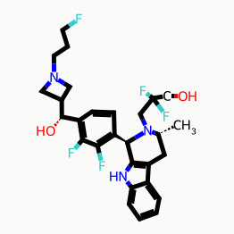 C[C@@H]1Cc2c([nH]c3ccccc23)[C@@H](c2ccc([C@H](O)C3CN(CCCF)C3)c(F)c2F)N1CC(F)(F)CO